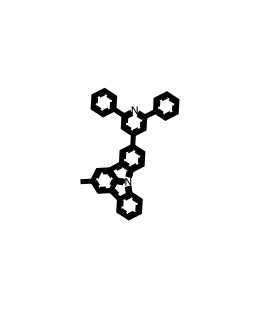 Cc1cc2c3ccccc3n3c4ccc(-c5cc(-c6ccccc6)nc(-c6ccccc6)c5)cc4c(c1)c23